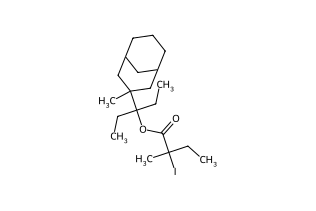 CCC(C)(I)C(=O)OC(CC)(CC)C1(C)CC2CCCC(C2)C1